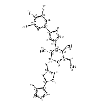 Cc1ncsc1C1CC(C[C@H]2O[C@H](CO)[C@H](O)[C@H](n3cc(-c4cc(F)c(F)c(F)c4)nn3)[C@H]2O)=NO1